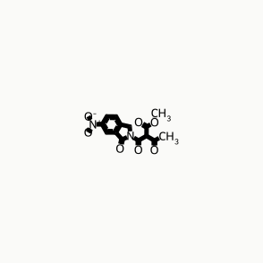 COC(=O)C(C(C)=O)C(=O)N1Cc2ccc([N+](=O)[O-])cc2C1=O